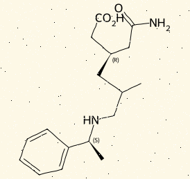 CC(CN[C@@H](C)c1ccccc1)C[C@H](CC(N)=O)CC(=O)O